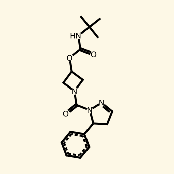 CC(C)(C)NC(=O)OC1CN(C(=O)N2N=CCC2c2ccccc2)C1